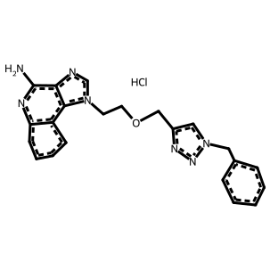 Cl.Nc1nc2ccccc2c2c1ncn2CCOCc1cn(Cc2ccccc2)nn1